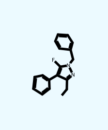 CCc1nn(Cc2ccccc2)c(F)c1-c1ccccc1